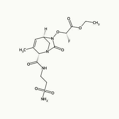 CCOC(=O)[C@H](F)ON1C(=O)N2C[C@H]1C=C(C)[C@H]2C(=O)NCCS(N)(=O)=O